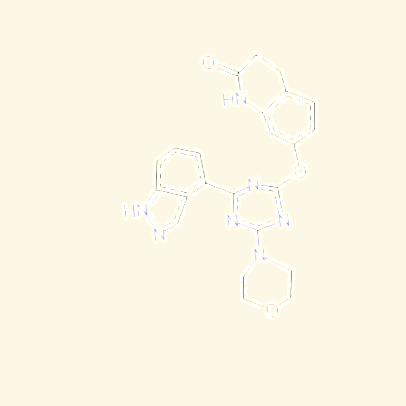 O=C1CCc2ccc(Oc3nc(-c4cccc5[nH]ncc45)nc(N4CCOCC4)n3)cc2N1